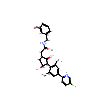 Cc1cc(-c2ccc(F)cn2)cc(C)c1C1C(=O)CC(CC(=O)NCc2cccc(Br)c2)C1=O